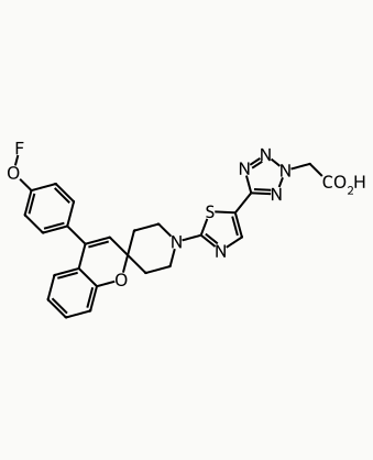 O=C(O)Cn1nnc(-c2cnc(N3CCC4(C=C(c5ccc(OF)cc5)c5ccccc5O4)CC3)s2)n1